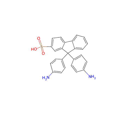 Nc1ccc(C2(c3ccc(N)cc3)c3ccccc3-c3ccc(S(=O)(=O)O)cc32)cc1